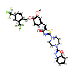 COc1cc(/C=C2/SC(N3CCCN(c4nc5ccccc5o4)CC3)=NC2=O)ccc1OCc1ccc(C(F)(F)F)cc1C(F)(F)F